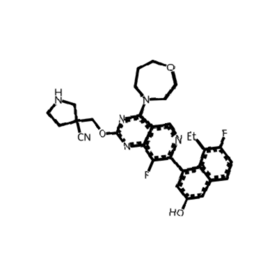 CCc1c(F)ccc2cc(O)cc(-c3ncc4c(N5CCCOCC5)nc(OCC5(C#N)CCNC5)nc4c3F)c12